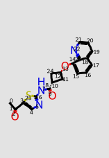 CC(=O)c1cnc(NC(=O)[C@H]2C[C@H](Oc3cccc4cccnc34)C2)s1